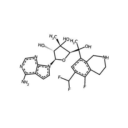 CC(O)(c1cc(C(F)F)c(F)c2c1CNCC2)[C@H]1O[C@@H](n2ccc3c(N)ncnc32)[C@H](O)[C@]1(C)O